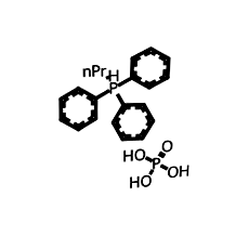 CCC[PH](c1ccccc1)(c1ccccc1)c1ccccc1.O=P(O)(O)O